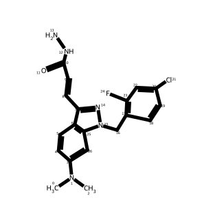 CN(C)c1ccc2c(C=CC(=O)NN)nn(Cc3ccc(Cl)cc3F)c2c1